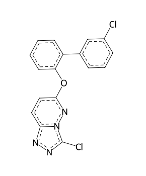 Clc1cccc(-c2ccccc2Oc2ccc3nnc(Cl)n3n2)c1